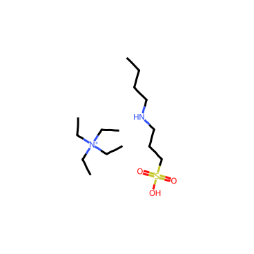 CCCCNCCCS(=O)(=O)O.CC[N+](CC)(CC)CC